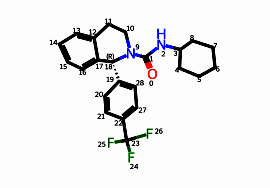 O=C(NC1CCCCC1)N1CCc2ccccc2[C@H]1c1ccc(C(F)(F)F)cc1